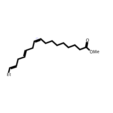 CCC=CCC=CC/C=C\CCCCCCCC(=O)OC